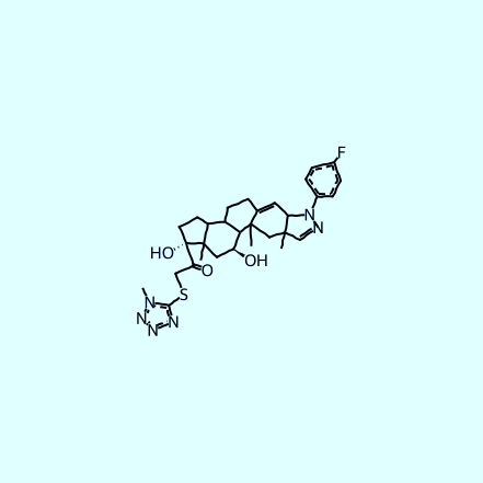 Cn1nnnc1SCC(=O)[C@@]1(O)CCC2C3CCC4=CC5N(c6ccc(F)cc6)N=CC5(C)CC4(C)C3[C@@H](O)CC21C